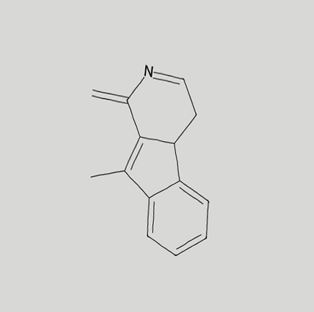 C=C1N=CCC2C1=C(C)c1ccccc12